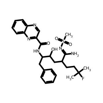 CC(C)(F)CCC(CC(O)C(Cc1ccccc1)NC(=O)c1cnc2ccccc2n1)C(N)=NS(C)(=O)=O